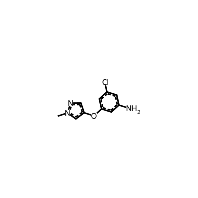 Cn1cc(Oc2cc(N)cc(Cl)c2)cn1